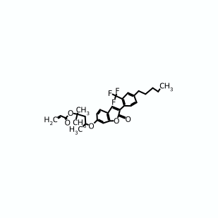 C=CC(=O)OC(C)(C)CC(C)Oc1ccc2cc(-c3ccc(CCCCC)cc3C(F)(F)F)c(=O)oc2c1